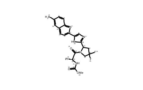 Bc1ccc2nc(-c3cnc(C4CC(F)(F)CN4C(=O)[C@@H](NC(=O)OC)C(C)C)[nH]3)ccc2c1